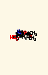 COC(C)(C)CCOc1ccc2c(C(=O)O)cnn2c1